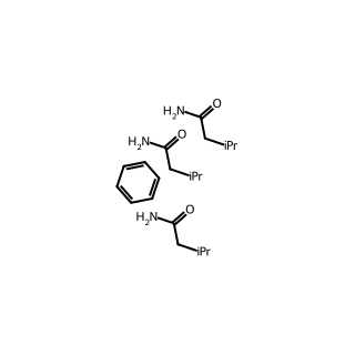 CC(C)CC(N)=O.CC(C)CC(N)=O.CC(C)CC(N)=O.c1ccccc1